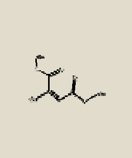 CCCCOC(=O)/C=C(/CCCC)C(=O)OCCCC